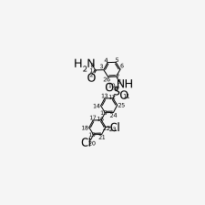 NC(=O)c1cccc(NS(=O)(=O)c2ccc(-c3ccc(Cl)cc3Cl)cc2)c1